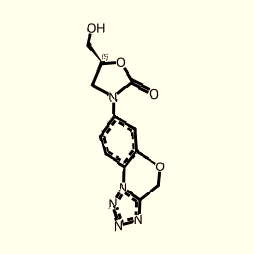 O=C1O[C@H](CO)CN1c1ccc2c(c1)OCc1nnnn1-2